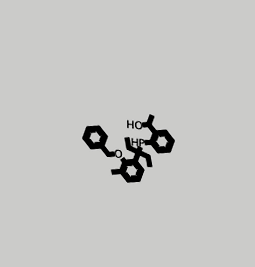 CCC(CC)(Pc1ccccc1C(C)O)c1cccc(C)c1OCc1ccccc1